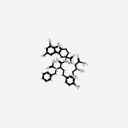 CC[C@H](C)[C@H](NC(=O)[C@@]1(NC(=O)C(CCc2ccc(O)cc2)N(Cc2ccccc2)C(=O)O)CCc2[nH]c3c(Cl)cc(Cl)cc3c2C1)C(N)=S